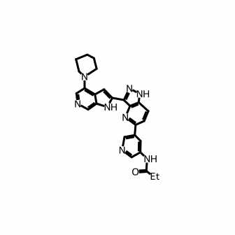 CCC(=O)Nc1cncc(-c2ccc3[nH]nc(-c4cc5c(N6CCCCC6)cncc5[nH]4)c3n2)c1